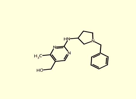 Cc1nc(NC2CCN(Cc3ccccc3)C2)ncc1CO